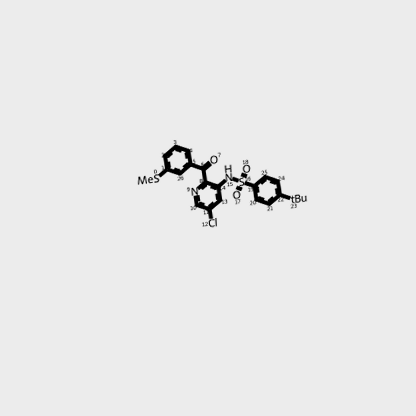 CSc1cccc(C(=O)c2ncc(Cl)cc2NS(=O)(=O)c2ccc(C(C)(C)C)cc2)c1